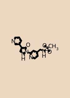 CS(=O)(=O)NCc1ccnc(-n2[nH]cc(-c3cccnc3)c2=O)c1